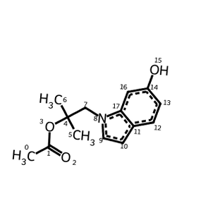 CC(=O)OC(C)(C)Cn1ccc2ccc(O)cc21